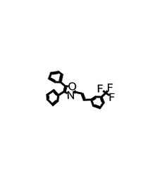 FC(F)(F)c1cccc(/C=C/c2nc(-c3ccccc3)c(-c3ccccc3)o2)c1